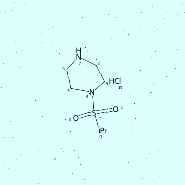 CC(C)S(=O)(=O)N1CCNCC1.Cl